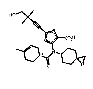 CC1=CC[C@H](C(=O)N(c2cc(C#CC(C)(C)CO)sc2C(=O)O)[C@H]2CC[C@@]3(CC2)CO3)CC1